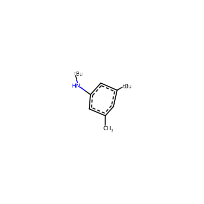 Cc1cc(NC(C)(C)C)cc(C(C)(C)C)c1